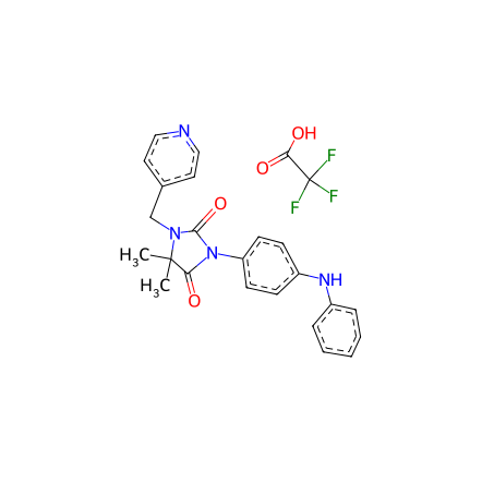 CC1(C)C(=O)N(c2ccc(Nc3ccccc3)cc2)C(=O)N1Cc1ccncc1.O=C(O)C(F)(F)F